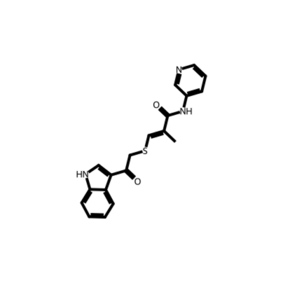 C/C(=C\SCC(=O)c1c[nH]c2ccccc12)C(=O)Nc1cccnc1